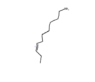 CC/C=C\CCCCCCN